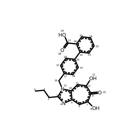 CCCc1nc2cc(O)c(=O)c(O)cc2n1Cc1ccc(-c2ccccc2C(=O)O)cc1